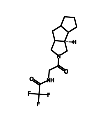 O=C(CNC(=O)C(F)(F)F)N1CC2CC3CCCC3[C@H]2C1